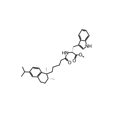 COC(=O)[C@@H](Cc1c[nH]c2ccccc12)NC(=O)CCCC[C@]1(C)c2ccc(C(C)C)cc2CC[C@H]1C